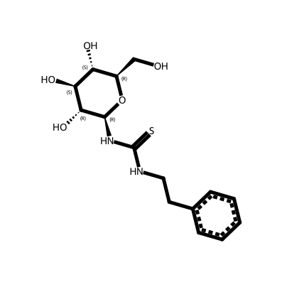 OC[C@H]1O[C@@H](NC(=S)NCCc2ccccc2)[C@H](O)[C@@H](O)[C@@H]1O